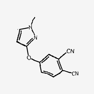 Cn1[c]cc(Oc2ccc(C#N)c(C#N)c2)n1